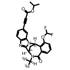 [2H]C([2H])([2H])N1C(=O)c2cccc(OC(F)F)c2[C@H]2C[C@@H]1c1nc3ccc(C#CC(=O)OC(C)C)cc3n12